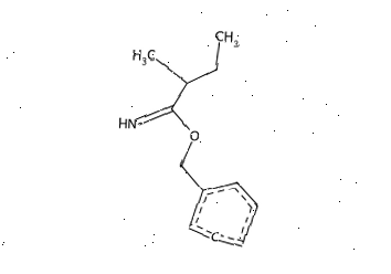 CCC(C)C(=N)OCc1ccccc1